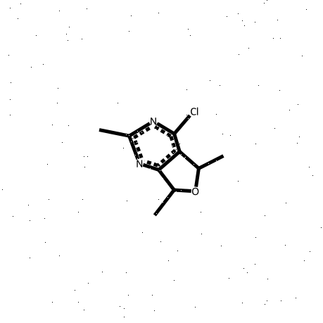 Cc1nc(Cl)c2c(n1)C(C)OC2C